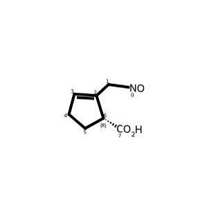 O=NCC1=CCC[C@H]1C(=O)O